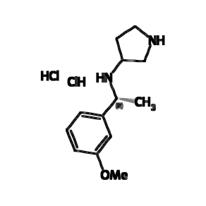 COc1cccc([C@@H](C)NC2CCNC2)c1.Cl.Cl